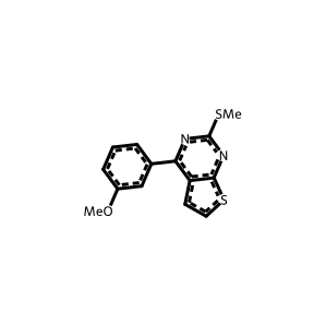 COc1cccc(-c2nc(SC)nc3sccc23)c1